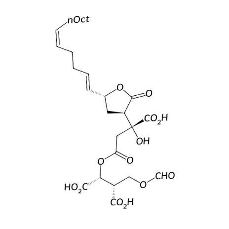 CCCCCCCC/C=C\CC/C=C/[C@H]1C[C@H]([C@](O)(CC(=O)O[C@@H](C(=O)O)[C@H](COC=O)C(=O)O)C(=O)O)C(=O)O1